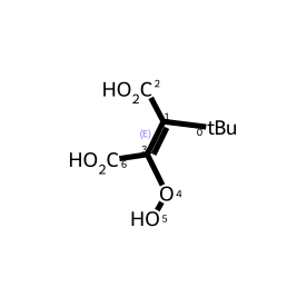 CC(C)(C)/C(C(=O)O)=C(\OO)C(=O)O